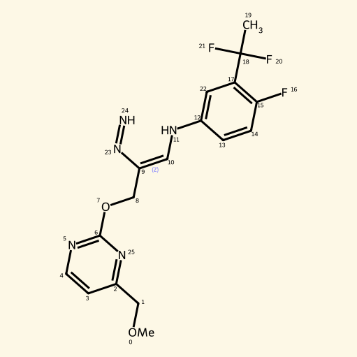 COCc1ccnc(OC/C(=C/Nc2ccc(F)c(C(C)(F)F)c2)N=N)n1